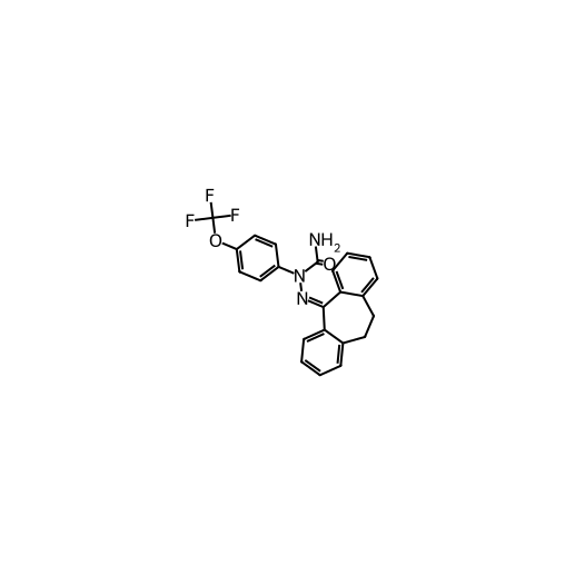 NC(=O)N(N=C1c2ccccc2CCc2ccccc21)c1ccc(OC(F)(F)F)cc1